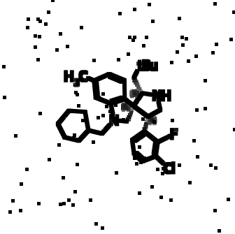 Cc1ccc2c(c1)N(CC1CCCCC1)C[C@@]21[C@H](CC(C)(C)C)NC[C@@H]1c1cccc(Cl)c1F